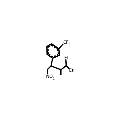 CCC(CC)C(C)C(C[N+](=O)[O-])c1cccc(C(F)(F)F)c1